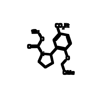 CCOC(=O)c1ccc(OCOC)c(C2CCCN2C(=O)OC(C)(C)C)c1